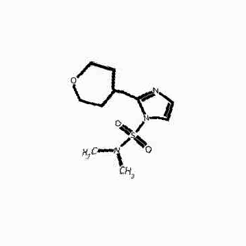 CN(C)S(=O)(=O)n1ccnc1C1CCOCC1